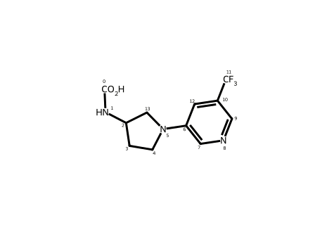 O=C(O)NC1CCN(c2cncc(C(F)(F)F)c2)C1